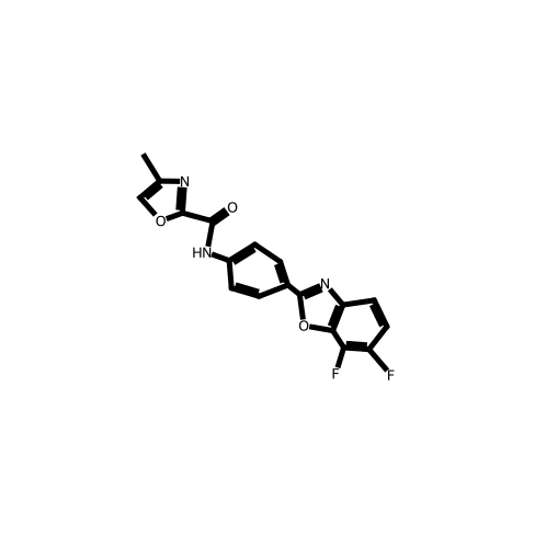 Cc1coc(C(=O)Nc2ccc(-c3nc4ccc(F)c(F)c4o3)cc2)n1